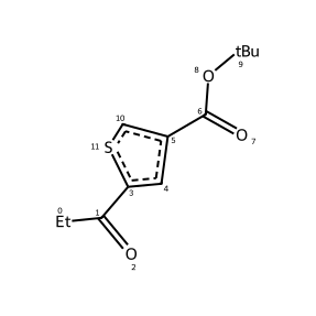 CCC(=O)c1cc(C(=O)OC(C)(C)C)cs1